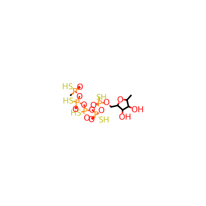 CC1OC(COP(=O)(S)OP(=O)(S)OP(=O)(S)OP(=O)(S)OP(C)(=O)S)C(O)C1O